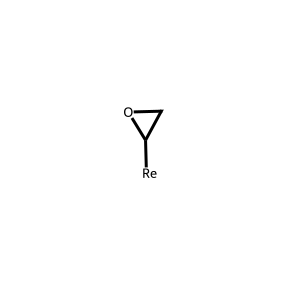 [Re][CH]1CO1